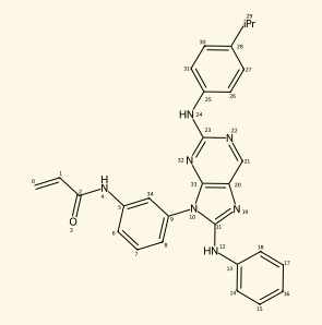 C=CC(=O)Nc1cccc(-n2c(Nc3ccccc3)nc3cnc(Nc4ccc(C(C)C)cc4)nc32)c1